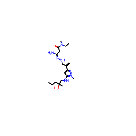 C=C(CN/N=C(/N)CC(=O)N(C)CC)c1cc(NCC(C)(O)CCC)n(C)n1